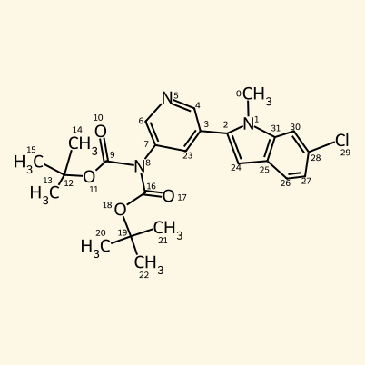 Cn1c(-c2cncc(N(C(=O)OC(C)(C)C)C(=O)OC(C)(C)C)c2)cc2ccc(Cl)cc21